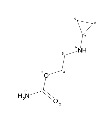 NC(=O)OCCNC1CC1